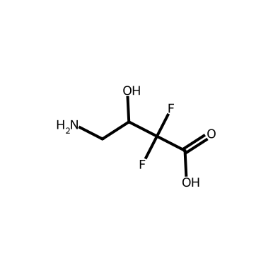 NCC(O)C(F)(F)C(=O)O